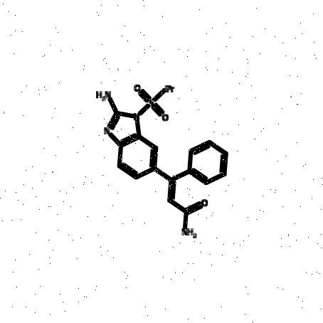 CC(C)S(=O)(=O)n1c(N)nc2ccc(/C(=C/C(N)=O)c3ccccc3)cc21